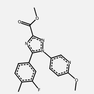 COC(=O)c1nc(-c2ccc(C)c(F)c2)n(-c2ccc(OC)nc2)n1